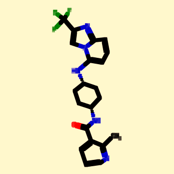 Cc1ncccc1C(=O)N[C@H]1CC[C@@H](Nc2cccc3nc(C(F)(F)F)cn23)CC1